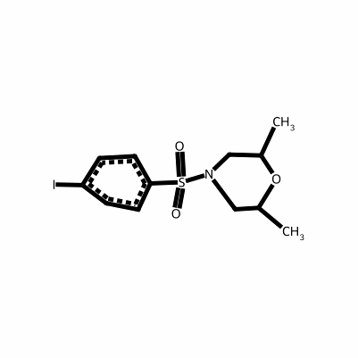 CC1CN(S(=O)(=O)c2ccc(I)cc2)CC(C)O1